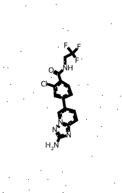 Nc1nc2ccc(-c3ccc(C(=O)NCC(F)(F)F)c(Cl)c3)cn2n1